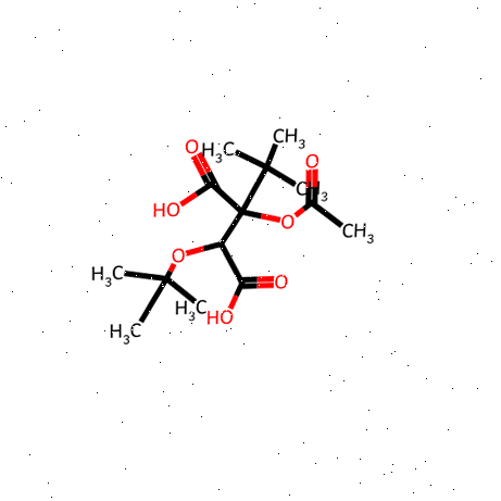 CC(=O)OC(C(=O)O)(C(OC(C)(C)C)C(=O)O)C(C)(C)C